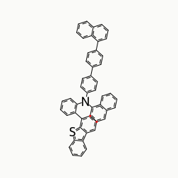 c1ccc(N(c2ccc(-c3ccc(-c4cccc5ccccc45)cc3)cc2)c2cccc3ccccc23)c(-c2cccc3c2sc2ccccc23)c1